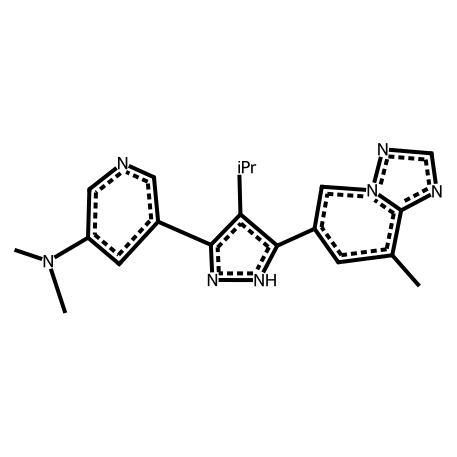 Cc1cc(-c2[nH]nc(-c3cncc(N(C)C)c3)c2C(C)C)cn2ncnc12